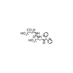 O=C(O)CCC(NC(=O)NC(CCNC(c1ccccn1)c1ccccn1)C(=O)O)C(=O)O